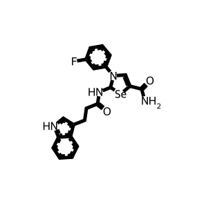 NC(=O)C1=CN(c2cccc(F)c2)C(NC(=O)CCc2c[nH]c3ccccc23)[Se]1